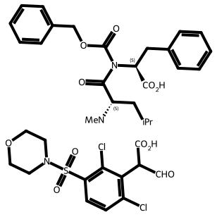 CN[C@@H](CC(C)C)C(=O)N(C(=O)OCc1ccccc1)[C@@H](Cc1ccccc1)C(=O)O.O=CC(C(=O)O)c1c(Cl)ccc(S(=O)(=O)N2CCOCC2)c1Cl